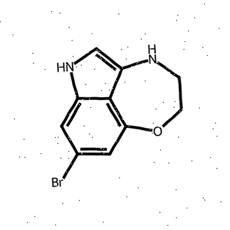 Brc1cc2c3c(c[nH]c3c1)NCCO2